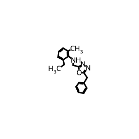 CCc1cccc(C)c1NCc1nnc(Cc2ccccc2)o1